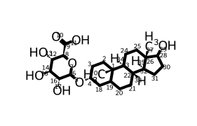 C[C@]12CC[C@@H](OC3O[C@H](C(=O)O)[C@@H](O)[C@H](O)[C@H]3O)CC1CC[C@@H]1[C@@H]2CC[C@]2(C)C(O)CC[C@@H]12